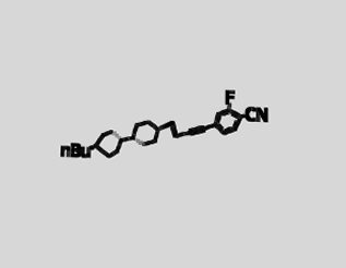 CCCC[C@H]1CC[C@H]([C@H]2CC[C@H](C=CC#Cc3ccc(C#N)c(F)c3)CC2)CC1